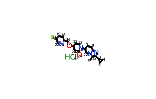 Cc1c(C2CC2)nc2ccc(-n3ccc(OCc4ccc(F)cn4)cc3=O)cn12.Cl